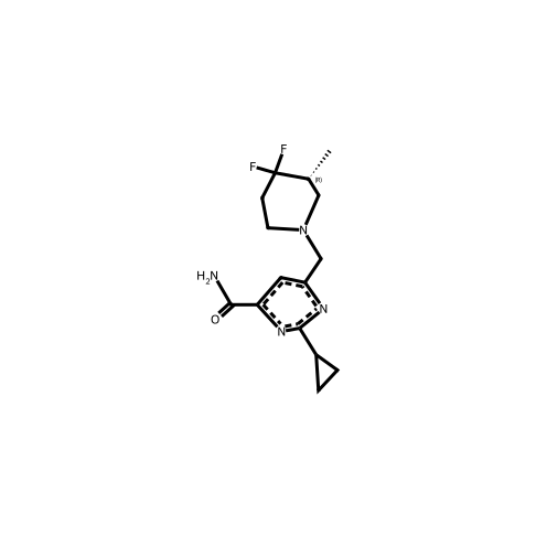 C[C@@H]1CN(Cc2cc(C(N)=O)nc(C3CC3)n2)CCC1(F)F